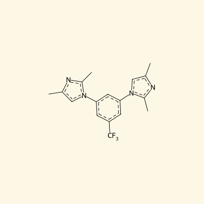 Cc1cn(-c2cc(-n3cc(C)nc3C)cc(C(F)(F)F)c2)c(C)n1